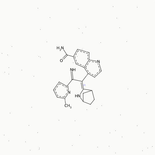 Cc1cccc(C(=N)/C(=C2\NC3CCC2C3)c2ccnc3ccc(C(N)=O)cc23)n1